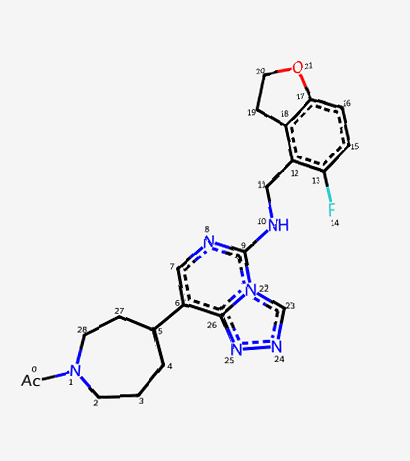 CC(=O)N1CCCC(c2cnc(NCc3c(F)ccc4c3CCO4)n3cnnc23)CC1